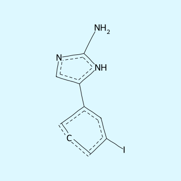 Nc1ncc(-c2cccc(I)c2)[nH]1